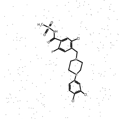 CS(=O)(=O)NC(=O)c1cc(Cl)c(CN2CCN(c3ccc(Cl)c(Cl)c3)CC2)cc1F